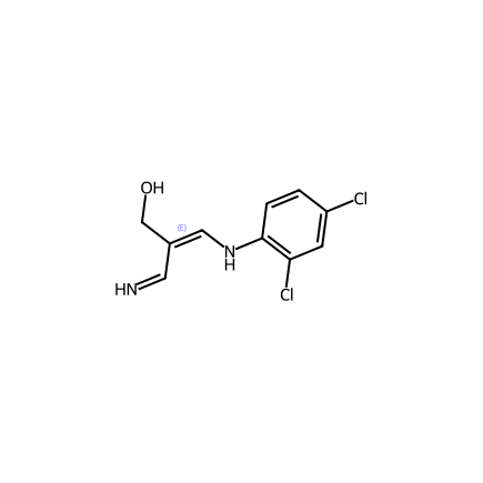 N=C/C(=C\Nc1ccc(Cl)cc1Cl)CO